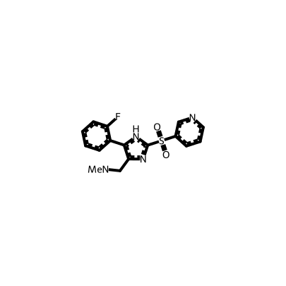 CNCc1nc(S(=O)(=O)c2cccnc2)[nH]c1-c1ccccc1F